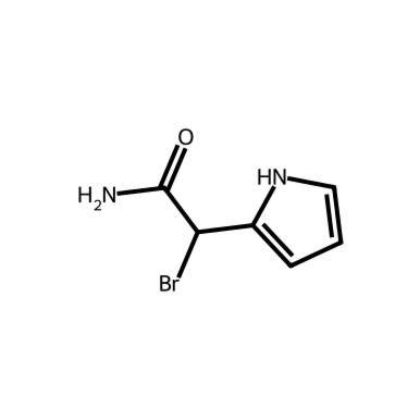 NC(=O)C(Br)c1ccc[nH]1